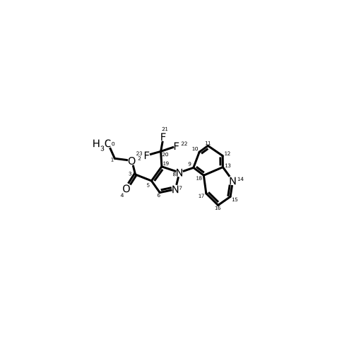 CCOC(=O)c1cnn(-c2cccc3ncccc23)c1C(F)(F)F